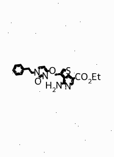 CCOC(=O)c1cnc(N)c2c(COc3ccn(CCc4ccccc4)c(=O)n3)csc12